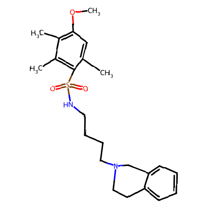 COc1cc(C)c(S(=O)(=O)NCCCCN2CCc3ccccc3C2)c(C)c1C